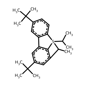 CC(C)S12c3ccc(C(C)(C)C)cc3-c3cc(C(C)(C)C)cc(c31)C2C